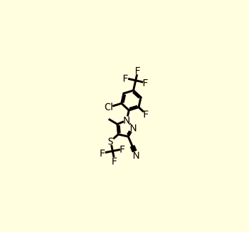 Cc1c(SC(F)(F)F)c(C#N)nn1-c1c(F)cc(C(F)(F)F)cc1Cl